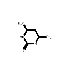 CC1CC(C)NC(=S)N1